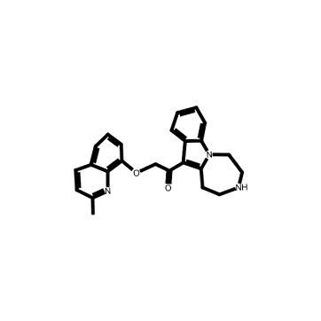 Cc1ccc2cccc(OCC(=O)c3c4n(c5ccccc35)CCNCC4)c2n1